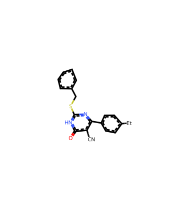 CCc1ccc(-c2nc(SCc3ccccc3)[nH]c(=O)c2C#N)cc1